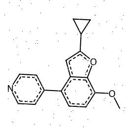 COc1ccc(-c2ccncc2)c2cc(C3CC3)oc12